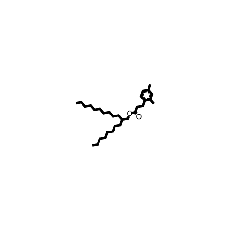 CCCCCCCCCCC(CCCCCCCC)COC(=O)CCc1ccc(C)cc1C